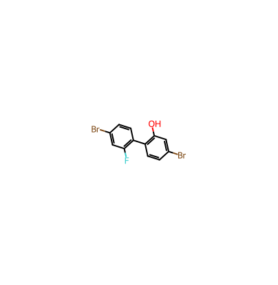 Oc1cc(Br)ccc1-c1ccc(Br)cc1F